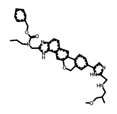 CCCN(Cc1nc2ccc3cc4c(cc3c2[nH]1)OCc1cc(-c2cnc(CNCC(C)COC)[nH]2)ccc1-4)C(=O)OCc1ccccc1